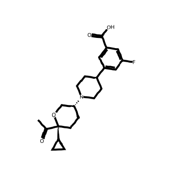 CC(=O)[C@@]1(C2CC2)CC[C@@H](N2CCC(c3cc(F)cc(C(=O)O)c3)CC2)CO1